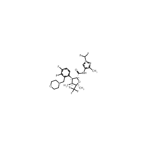 Cc1nn(C(F)F)cc1NC(=O)[C@@H]1O[C@@](C)(C(F)(F)F)[C@@H](C)[C@H]1c1ccc(F)c(F)c1CN1CCOCC1